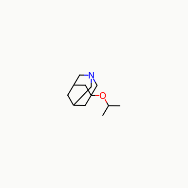 CC(C)OC12CC3CC(CN(C3)C1)C2